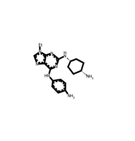 CCn1cnc2c(Nc3ccc(N)cc3)nc(N[C@H]3CC[C@@H](N)CC3)nc21